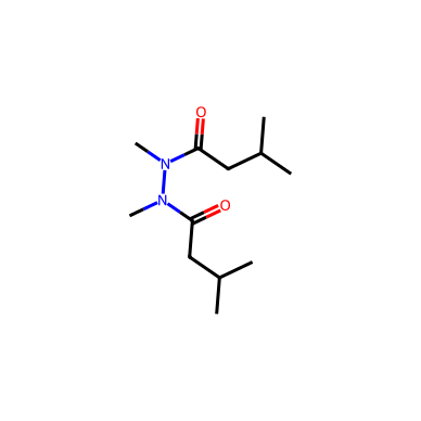 CC(C)CC(=O)N(C)N(C)C(=O)CC(C)C